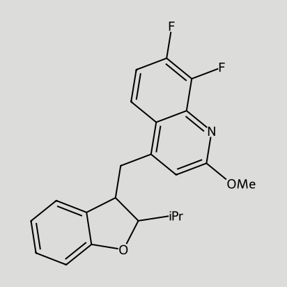 COc1cc(CC2c3ccccc3OC2C(C)C)c2ccc(F)c(F)c2n1